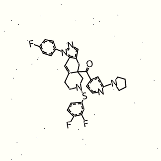 O=C(c1ccnc(N2CCCC2)c1)C12Cc3cnn(-c4ccc(F)cc4)c3C=C1CCN(Sc1ccc(F)c(F)c1)C2